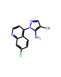 N#Cc1cnn(-c2ccnc3cc(Cl)ccc23)c1N